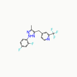 Cc1nn(-c2ccc(F)cc2F)nc1Cc1ccnc(C(F)(F)F)c1